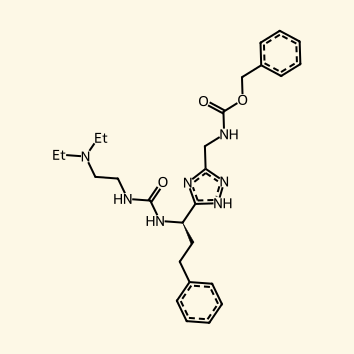 CCN(CC)CCNC(=O)N[C@H](CCc1ccccc1)c1nc(CNC(=O)OCc2ccccc2)n[nH]1